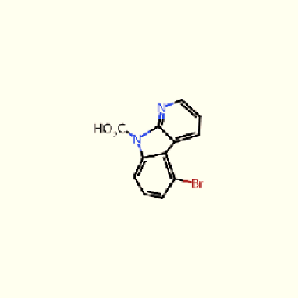 O=C(O)n1c2cccc(Br)c2c2cccnc21